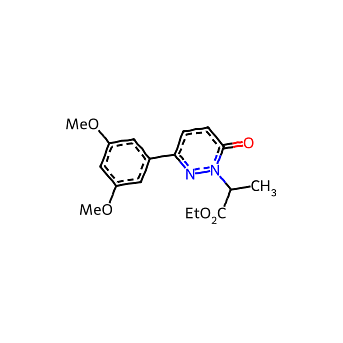 CCOC(=O)C(C)n1nc(-c2cc(OC)cc(OC)c2)ccc1=O